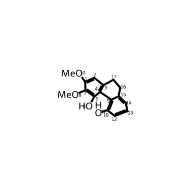 COc1cc2c(c(O)c1OC)-c1c(O)cccc1CC2